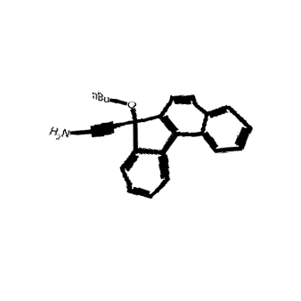 CCCCOC1(C#CN)c2ccccc2-c2c1ccc1ccccc21